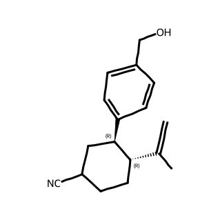 C=C(C)[C@@H]1CCC(C#N)C[C@H]1c1ccc(CO)cc1